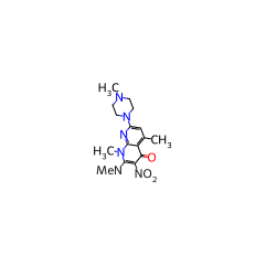 CNc1c([N+](=O)[O-])c(=O)c2c(C)cc(N3CCN(C)CC3)nc2n1C